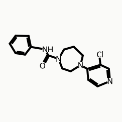 O=C(Nc1ccccc1)N1CCCN(c2ccncc2Cl)CC1